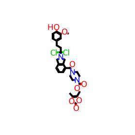 COc1cc(CCC(Cl)(Cl)N2Cc3cccc(C(=O)N4CCN(C(=O)OCc5oc(=O)oc5C)CC4)c3C2)ccc1O